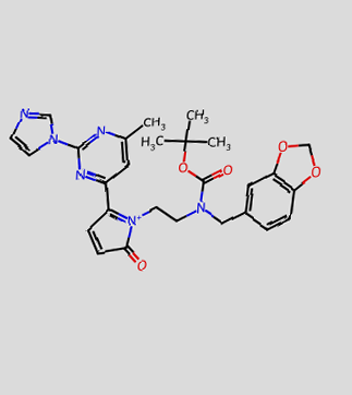 Cc1cc(C2=[N+](CCN(Cc3ccc4c(c3)OCO4)C(=O)OC(C)(C)C)C(=O)C=C2)nc(-n2ccnc2)n1